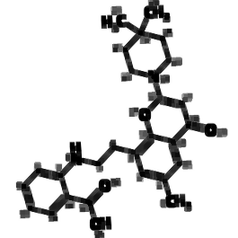 Cc1cc(CCNc2ccccc2C(=O)O)c2oc(N3CCC(C)(C)CC3)cc(=O)c2c1